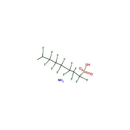 CC(F)C(F)(F)C(F)(F)C(F)(F)C(F)(F)C(F)(F)C(F)(F)S(=O)(=O)O.N